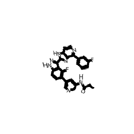 CCC(=O)Nc1cncc(-c2ccc3[nH]nc(-c4nc5c(-c6cccc(F)c6)nccc5[nH]4)c3c2F)c1